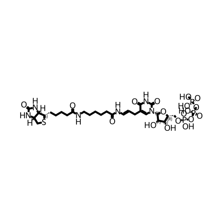 O=C(CCCCCNC(=O)CCCC[C@@H]1SC[C@@H]2NC(=O)N[C@@H]21)NC=CCc1cn([C@@H]2O[C@H](COP(=O)(O)OP(=O)(O)OP(=O)(O)O)[C@@H](O)[C@H]2O)c(=O)[nH]c1=O